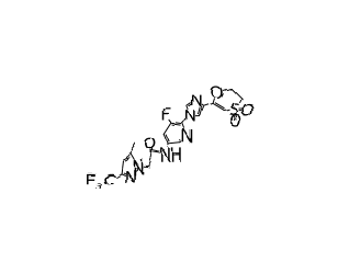 Cc1cc(C(F)(F)F)nn1CC(=O)Nc1cnc(-n2cnc(C3=CS(=O)(=O)CCO3)c2)c(F)c1